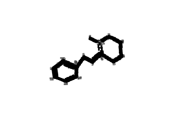 C[SiH]1CCCCC1=CCc1ccccc1